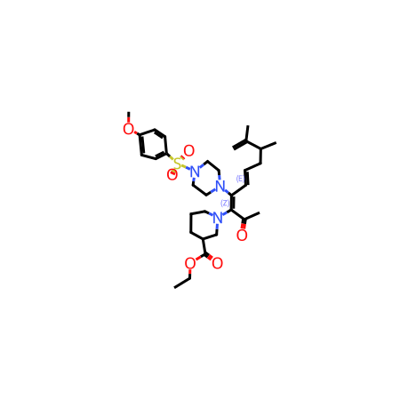 C=C(C)C(C)C/C=C/C(=C(\C(C)=O)N1CCCC(C(=O)OCC)C1)N1CCN(S(=O)(=O)c2ccc(OC)cc2)CC1